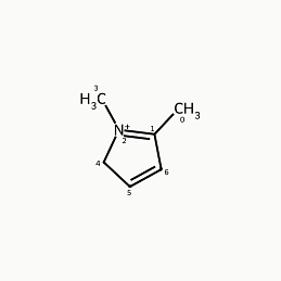 CC1=[N+](C)CC=C1